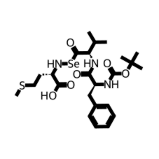 CSCC[C@H](N[Se]C(=O)[C@@H](NC(=O)[C@H](Cc1ccccc1)NC(=O)OC(C)(C)C)C(C)C)C(=O)O